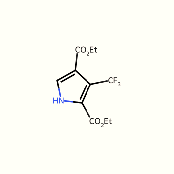 CCOC(=O)c1c[nH]c(C(=O)OCC)c1C(F)(F)F